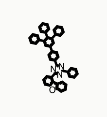 c1ccc(-c2nc(-c3ccc(-c4cc(-c5ccccc5)c(-c5ccccc5)c(-c5ccccc5)c4)cc3)nc(-c3cccc4oc5ccccc5c34)n2)cc1